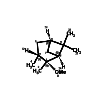 CO[C@]1(C)[C@H](C)C[C@@H]2C[C@H]1C2(C)C